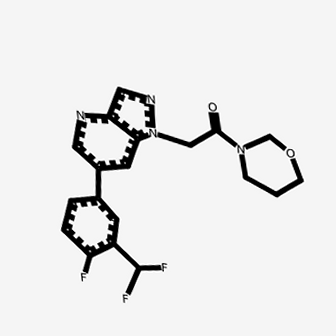 O=C(Cn1ncc2ncc(-c3ccc(F)c(C(F)F)c3)cc21)N1CCCOC1